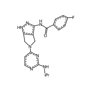 CC(C)Nc1nccc(N2Cc3[nH]nc(NC(=O)c4ccc(F)cc4)c3C2)n1